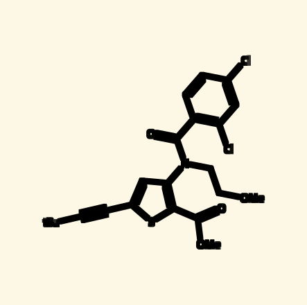 COCCN(C(=O)c1ccc(Cl)cc1Cl)c1cc(C#CC(C)(C)C)sc1C(=O)OC